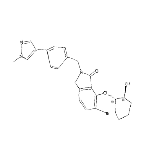 Cn1cc(-c2ccc(CN3Cc4ccc(Br)c(O[C@H]5CCCC[C@@H]5O)c4C3=O)cc2)cn1